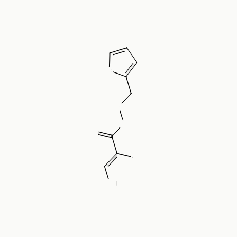 C/C=C(\C)C(=O)OSCc1ccco1